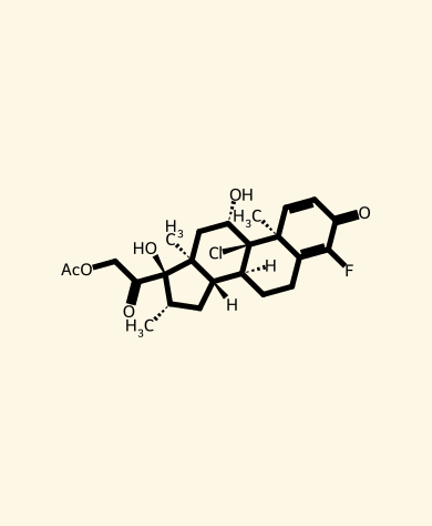 CC(=O)OCC(=O)[C@@]1(O)[C@@H](C)C[C@H]2[C@@H]3CCC4=C(F)C(=O)C=C[C@]4(C)[C@@]3(Cl)[C@@H](O)C[C@@]21C